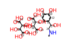 CNCC(O)c1ccc(O)c(O)c1.O=C(O)C(O)C(O)C(=O)O.O=C(O)C(O)C(O)C(=O)O